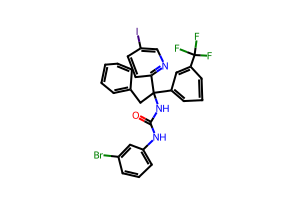 O=C(Nc1cccc(Br)c1)NC(Cc1ccccc1)(c1cccc(C(F)(F)F)c1)c1ccc(I)cn1